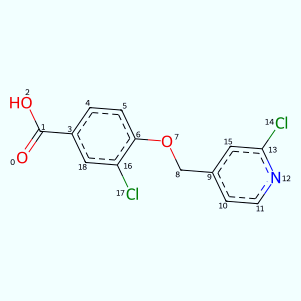 O=C(O)c1ccc(OCc2ccnc(Cl)c2)c(Cl)c1